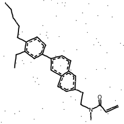 C=CC(=O)N(C)CCc1ccc2cc(-c3ccc(CCCCC)c(CC)c3)ccc2c1